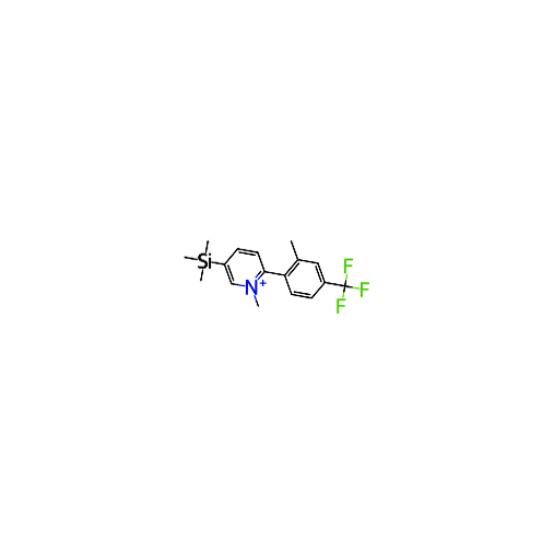 Cc1cc(C(F)(F)F)ccc1-c1ccc([Si](C)(C)C)c[n+]1C